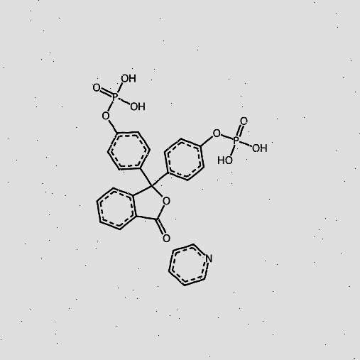 O=C1OC(c2ccc(OP(=O)(O)O)cc2)(c2ccc(OP(=O)(O)O)cc2)c2ccccc21.c1ccncc1